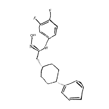 O/N=C(/C[C@H]1CC[C@@H](c2ccccc2)CC1)Nc1ccc(F)c(F)c1